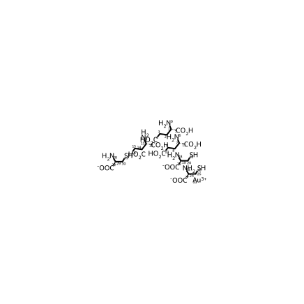 N[C@@H](CCC(=O)O)C(=O)O.N[C@@H](CCC(=O)O)C(=O)O.N[C@@H](CCC(=O)O)C(=O)O.N[C@@H](CS)C(=O)[O-].N[C@@H](CS)C(=O)[O-].N[C@@H](CS)C(=O)[O-].[Au+3]